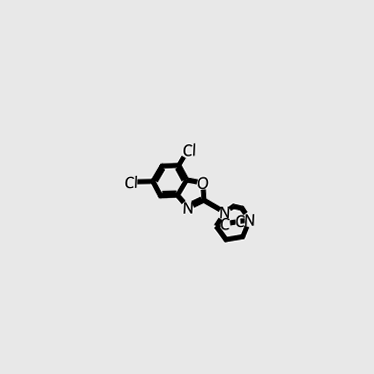 Clc1cc(Cl)c2oc(N3CCN4CCC3CC4)nc2c1